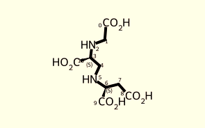 O=C(O)CN[C@@H](CN[C@@H](CC(=O)O)C(=O)O)C(=O)O